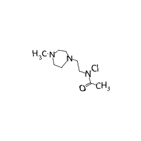 CC(=O)N(Cl)CCN1CCN(C)CC1